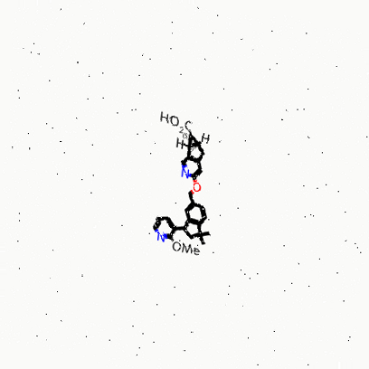 COc1ncccc1C1CC(C)(C)c2ccc(COc3cc4c(cn3)[C@H]3[C@@H](C4)[C@@H]3C(=O)O)cc21